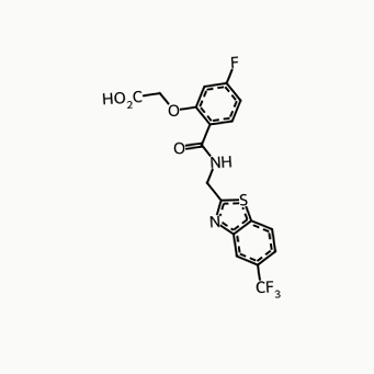 O=C(O)COc1cc(F)ccc1C(=O)NCc1nc2cc(C(F)(F)F)ccc2s1